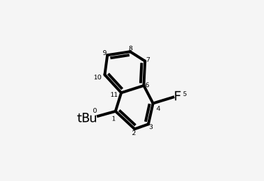 CC(C)(C)c1ccc(F)c2ccccc12